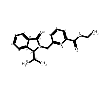 CCOC(=O)c1cccc(CN2C(=O)c3ccccc3C2C(C)C)n1